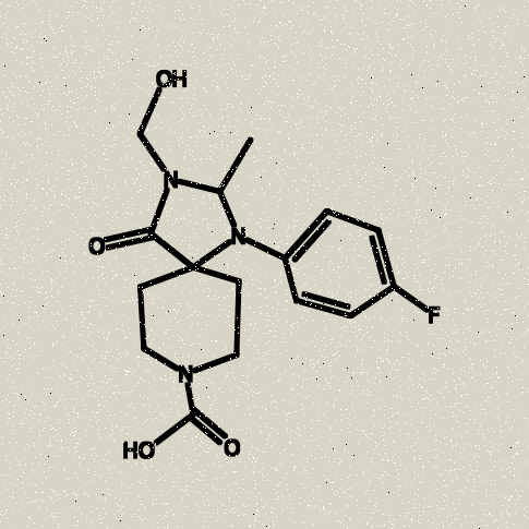 CC1N(CO)C(=O)C2(CCN(C(=O)O)CC2)N1c1ccc(F)cc1